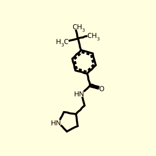 CC(C)(C)c1ccc(C(=O)NCC2CCNC2)cc1